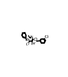 Cc1nc(OCc2cccc(Cl)c2)c(Br)c(=O)n1Cc1ccccc1